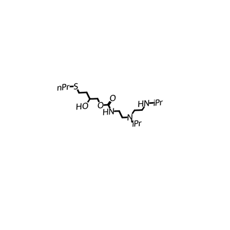 CCCSCCC(O)COC(=O)NCCN(CCNC(C)C)C(C)C